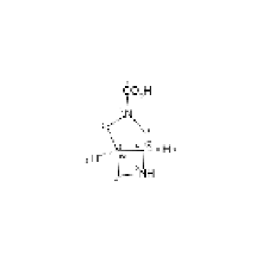 O=C(O)N1C[C@@H]2CN[C@@H]2C1